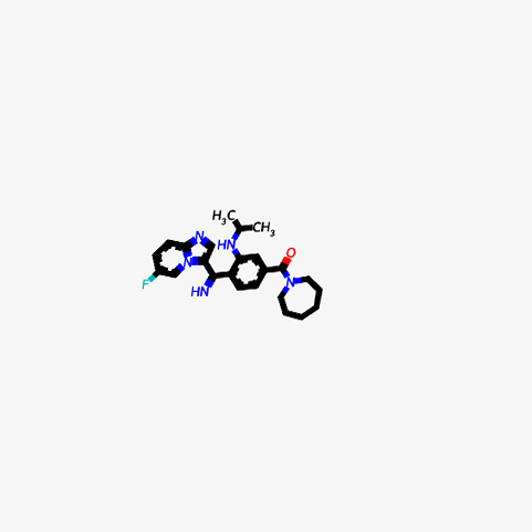 CC(C)Nc1cc(C(=O)N2CCCCCC2)ccc1C(=N)c1cnc2ccc(F)cn12